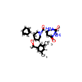 C[C@@H](O[C@H]1CCN(C(=O)[C@H]2CC(=O)NC(=O)N2)C[C@H]1c1ccccc1)c1cc(C(F)(F)F)cc(C(F)(F)F)c1